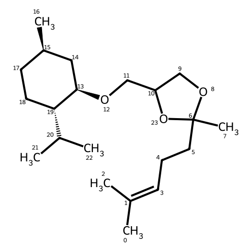 CC(C)=CCCC1(C)OCC(CO[C@@H]2C[C@H](C)CC[C@H]2C(C)C)O1